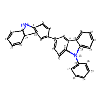 C1=CC2Nc3ccc(-c4ccc5c(c4)c4ccccc4n5-c4ccccc4)cc3C2C=C1